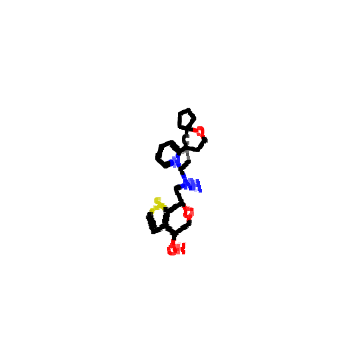 OC1COC(CNCC[C@@]2(c3ccccn3)CCOC3(CCCC3)C2)c2sccc21